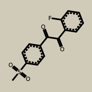 CS(=O)(=O)c1ccc(C(=O)C(=O)c2ccccc2F)cc1